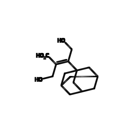 O=C(O)C(CO)=C(CO)C12CC3CC(CC(C3)C1)C2